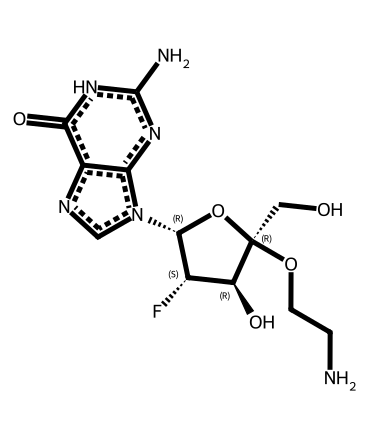 NCCO[C@]1(CO)O[C@@H](n2cnc3c(=O)[nH]c(N)nc32)[C@@H](F)[C@@H]1O